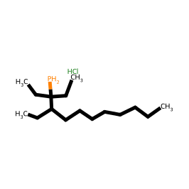 CCCCCCCCC(CC)C(P)(CC)CC.Cl